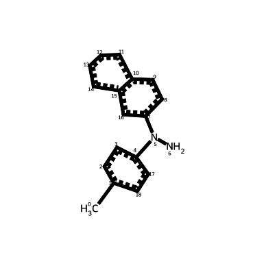 Cc1ccc(N(N)c2ccc3ccccc3c2)cc1